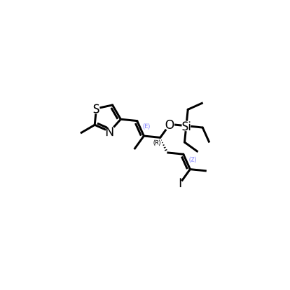 CC[Si](CC)(CC)O[C@H](C/C=C(/C)I)/C(C)=C/c1csc(C)n1